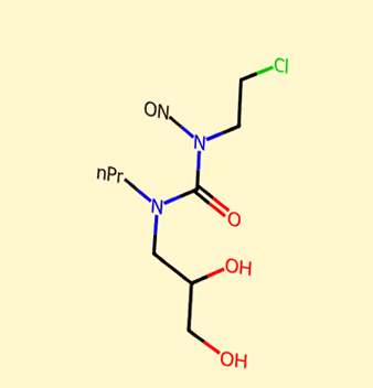 CCCN(CC(O)CO)C(=O)N(CCCl)N=O